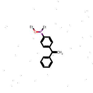 C=C(c1ccccc1)c1ccc(P(CC)OCC)cc1